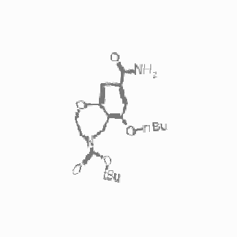 CCCCOc1cc(C(N)=O)cc2c1CN(C(=O)OC(C)(C)C)CCO2